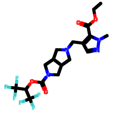 CCOC(=O)c1c(CN2CC3CN(C(=O)OC(C(F)(F)F)C(F)(F)F)CC3C2)cnn1C